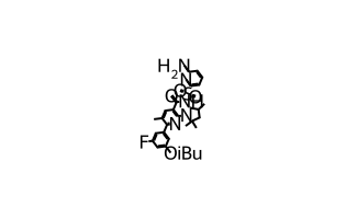 Cc1cc(C(=O)NS(=O)(=O)c2cccc(N)n2)c(N2CC(C)CC2(C)C)nc1-c1cc(F)cc(OCC(C)C)c1